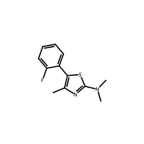 Cc1nc(N(C)C)sc1-c1ccccc1F